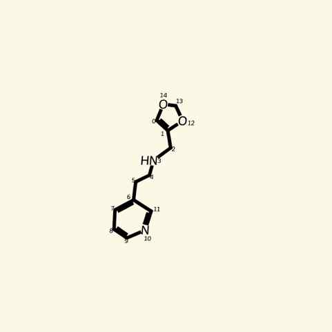 C1=C(CNCCc2cccnc2)OCO1